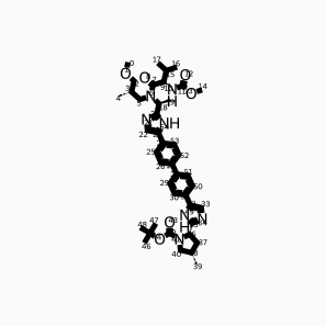 COC[C@@H](C)CN(C(=O)[C@@H](NC(=O)OC)C(C)C)[C@@H](C)c1ncc(-c2ccc(-c3ccc(-c4cnc([C@@H]5C[C@H](C)CN5C(=O)OC(C)(C)C)[nH]4)cc3)cc2)[nH]1